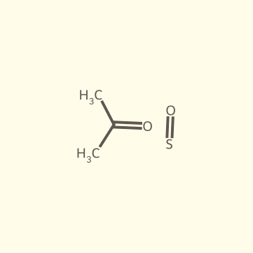 CC(C)=O.O=S